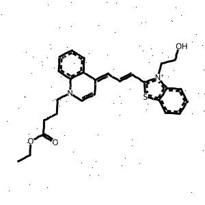 CCOC(=O)CCCN1C=C/C(=C\C=C\c2sc3ccccc3[n+]2CCO)c2ccccc21